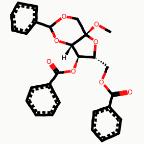 CO[C@]12COC(c3ccccc3)O[C@H]1[C@H](OC(=O)c1ccccc1)[C@@H](COC(=O)c1ccccc1)O2